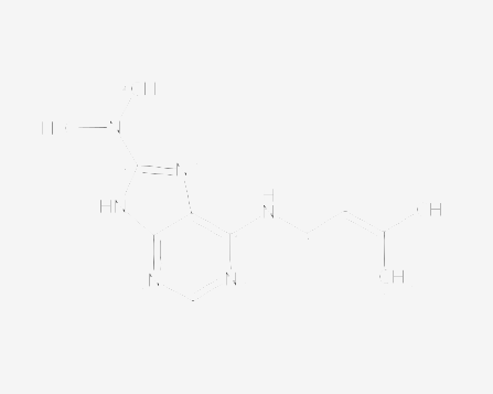 CC(C)=CCNc1ncnc2[nH]c(N(C)C)nc12